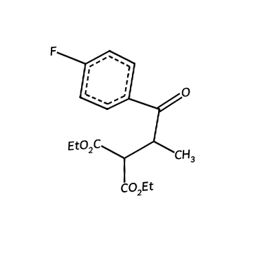 CCOC(=O)C(C(=O)OCC)C(C)C(=O)c1ccc(F)cc1